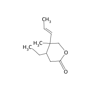 C/C=C/C1(C)COC(=O)CC1CC